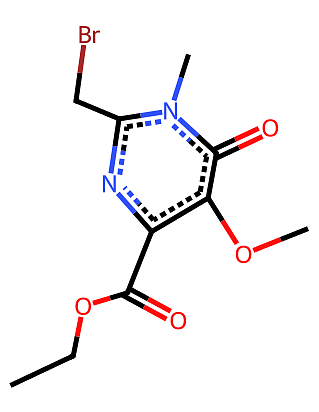 CCOC(=O)c1nc(CBr)n(C)c(=O)c1OC